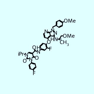 COC[C@@H](C)Nc1nn(Cc2ccc(OC)cc2)c2nccc(Oc3ccc(NC(=O)c4cn(C(C)C)c(=O)n(-c5ccc(F)cc5)c4=O)cc3F)c12